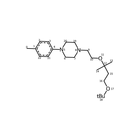 Cc1ccc(N2CCN(CCOC(C)(C)CCOC(C)(C)C)CC2)cc1